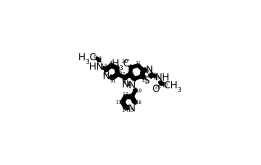 CCNc1ccc(-c2nn(Cc3cccnc3)c3c2C(C)Cc2nc(NC(C)=O)sc2-3)cn1